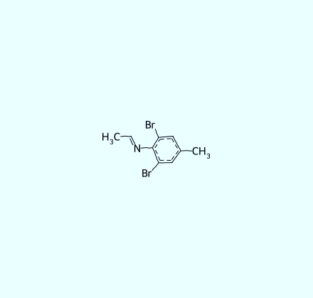 CC=Nc1c(Br)cc(C)cc1Br